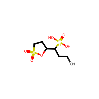 N#CCCC(C1CCS(=O)(=O)O1)[SH](=O)(O)O